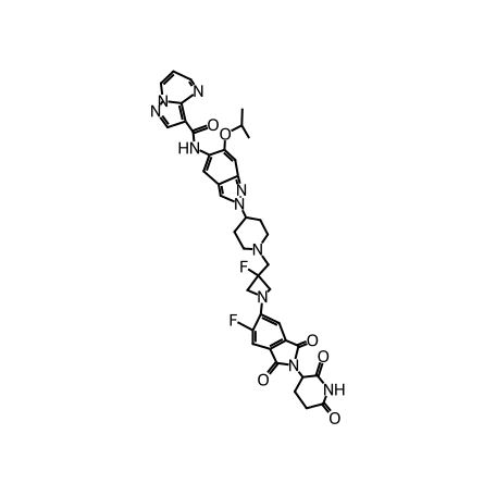 CC(C)Oc1cc2nn(C3CCN(CC4(F)CN(c5cc6c(cc5F)C(=O)N(C5CCC(=O)NC5=O)C6=O)C4)CC3)cc2cc1NC(=O)c1cnn2cccnc12